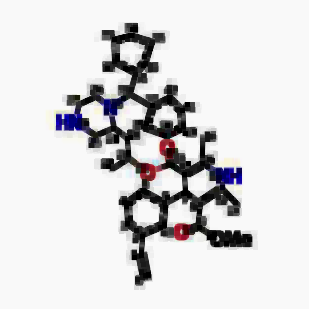 C#Cc1cccc(C2C(C(=O)OC)=C(C)NC(C)=C2C(=O)OC(C)CC2CNCCN2C(c2ccccc2)c2ccccc2)c1